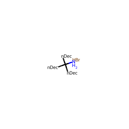 Br.CCCCCCCCCCC(N)(CCCCCCCCCC)CCCCCCCCCC